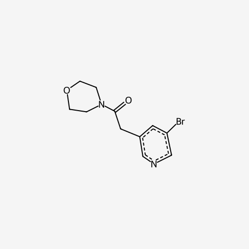 O=C(Cc1cncc(Br)c1)N1CCOCC1